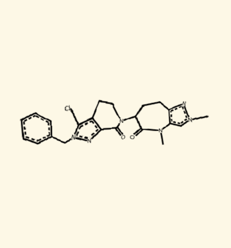 CN1C(=O)C(N2CCc3c(nn(Cc4ccccc4)c3Cl)C2=O)CCc2nn(C)cc21